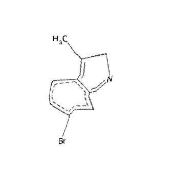 CC1=c2ccc(Br)cc2=NC1